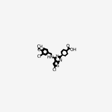 COc1ccc(CNc2nc(C3CCC(C(=O)O)CC3)nc3sc(Cl)cc23)cc1Cl